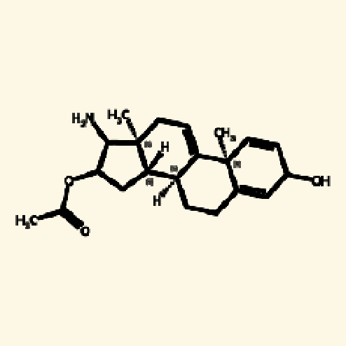 CC(=O)OC1C[C@H]2[C@@H]3CCC4=CC(O)C=C[C@]4(C)C3=CC[C@]2(C)C1N